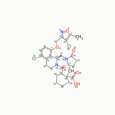 Cc1onc(COc2ccc(Cl)c3c2[C@@H](CN2CCCC2=O)N(C(=O)C2CCCCC2(C)C(=O)O)CC3)c1Cl